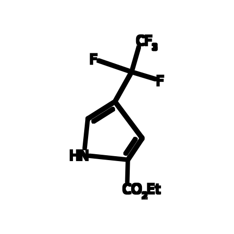 CCOC(=O)c1cc(C(F)(F)C(F)(F)F)c[nH]1